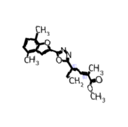 C=C/C(=C\C=C(/C)C(=O)OC)c1nnc(-c2cc3c(C)ccc(C)c3o2)o1